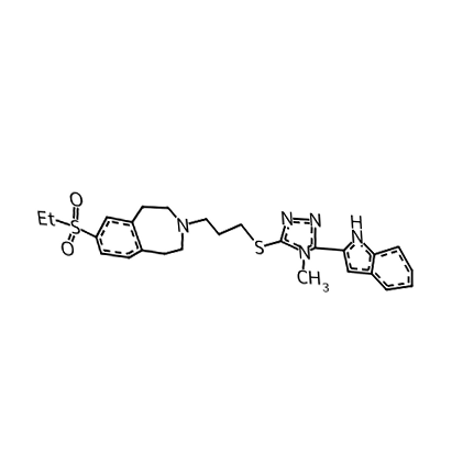 CCS(=O)(=O)c1ccc2c(c1)CCN(CCCSc1nnc(-c3cc4ccccc4[nH]3)n1C)CC2